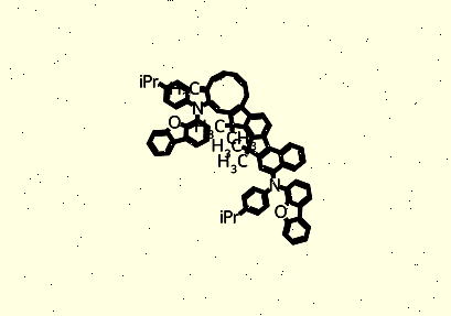 C=C1/C=C\C=C/CC2=C(/C=C\1N(c1ccc(C(C)C)cc1)c1cccc3c1oc1ccccc13)C(C)(C)c1c2ccc2c1C(C)(C)c1cc(N(c3ccc(C(C)C)cc3)c3cccc4c3oc3ccccc34)c3ccccc3c1-2